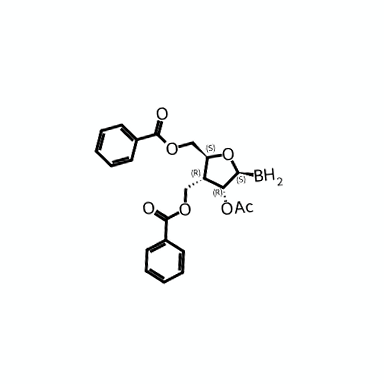 B[C@@H]1O[C@H](COC(=O)c2ccccc2)[C@@H](COC(=O)c2ccccc2)[C@H]1OC(C)=O